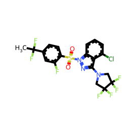 CC(F)(F)c1ccc(S(=O)(=O)n2nc(N3CC(F)(F)C(F)(F)C3)c3c(Cl)cccc32)c(F)c1